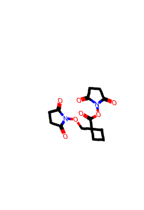 O=C1CCC(=O)N1OCC1(C(=O)ON2C(=O)CCC2=O)CCC1